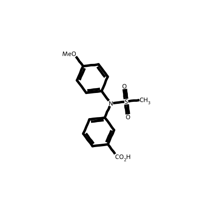 COc1ccc(N(c2cccc(C(=O)O)c2)S(C)(=O)=O)cc1